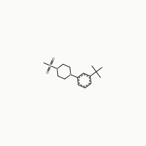 CC(C)(C)c1cccc(N2CCN(S(C)(=O)=O)CC2)c1